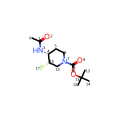 CC(=O)N[C@@H]1CCN(C(=O)OC(C)(C)C)C[C@@H]1F